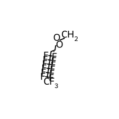 C=CC(=O)OCC[CH]C(F)(F)C(F)(F)C(F)(F)C(F)(F)C(F)(F)C(F)(F)C(F)(F)F